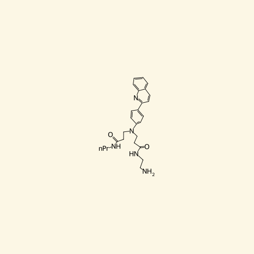 CCCNC(=O)CCN(CCC(=O)NCCN)c1ccc(-c2ccc3ccccc3n2)cc1